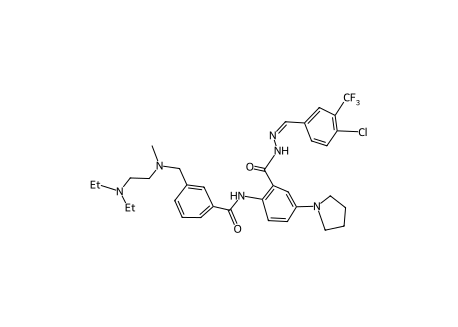 CCN(CC)CCN(C)Cc1cccc(C(=O)Nc2ccc(N3CCCC3)cc2C(=O)N/N=C\c2ccc(Cl)c(C(F)(F)F)c2)c1